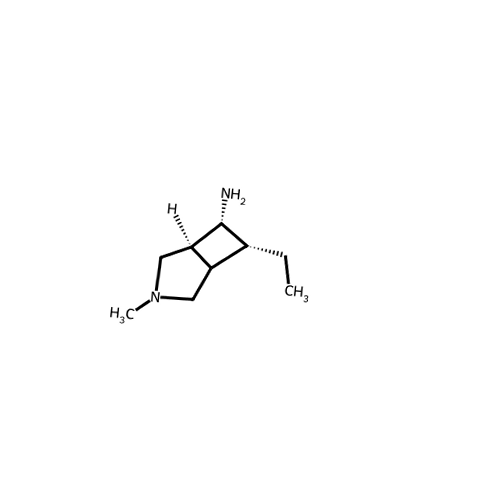 CC[C@@H]1C2CN(C)C[C@H]2[C@@H]1N